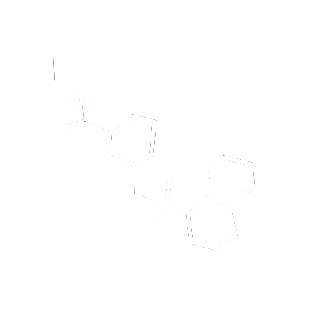 CCOC(=O)c1cccc(CS(=O)(=O)c2cccc3ccccc23)n1